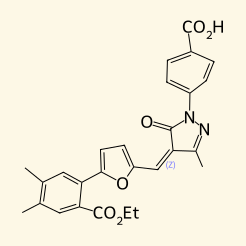 CCOC(=O)c1cc(C)c(C)cc1-c1ccc(/C=C2\C(=O)N(c3ccc(C(=O)O)cc3)N=C2C)o1